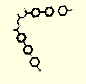 CC[C@H]1CC[C@H](c2ccc(-c3ccc(C(=O)OCC(C)OC(=O)c4ccc(-c5ccc([C@H]6CC[C@H](CC)CC6)cc5)cc4)cc3)cc2)CC1